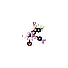 CCOC(=O)c1cc(C(F)(F)F)ccc1C1CCN(C(=O)[C@@H](NC(=O)OCc2ccc([N+](=O)[O-])cc2)[C@@H](C)OCC23CCC(CC2)OC3)CC1